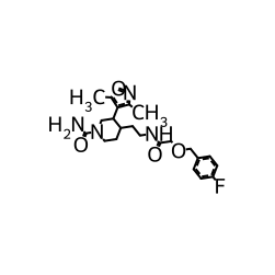 Cc1noc(C)c1C1CN(C(N)=O)CCC1CCNC(=O)COCc1ccc(F)cc1